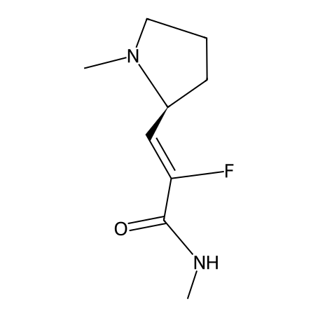 CNC(=O)/C(F)=C/[C@@H]1CCCN1C